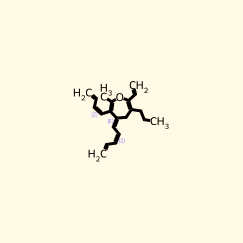 C=C/C=C\C=C1/CC(CCC)=C(C=C)OC(C)=C1/C=C\C=C